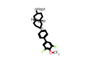 CCCCCCCC1CC[C@@H]2C[C@H](c3ccc(-c4cc(F)c(OC(F)(F)F)c(F)c4)cc3)CC[C@@H]2C1